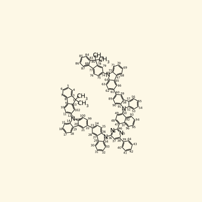 CC1(C)c2ccccc2-c2ccc(-n3c4ccccc4c4cc(-c5ccc6c(c5)c5ccccc5n6-c5cc(-c6ccccc6)nc(-c6ccc(-n7c8ccccc8c8cc(-c9ccc%10c(c9)c9ccccc9n%10-c9ccc%10c(c9)C(C)(C)c9ccccc9-%10)ccc87)c7ccccc67)n5)ccc43)cc21